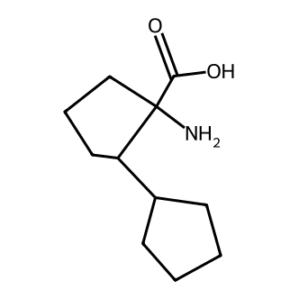 NC1(C(=O)O)CCCC1C1CCCC1